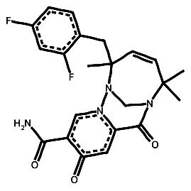 CC1(C)C=CC(C)(Cc2ccc(F)cc2F)N2CN1C(=O)c1cc(=O)c(C(N)=O)cn12